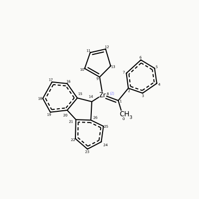 C/[C](c1ccccc1)=[Zr](/[C]1=CC=CC1)[CH]1c2ccccc2-c2ccccc21